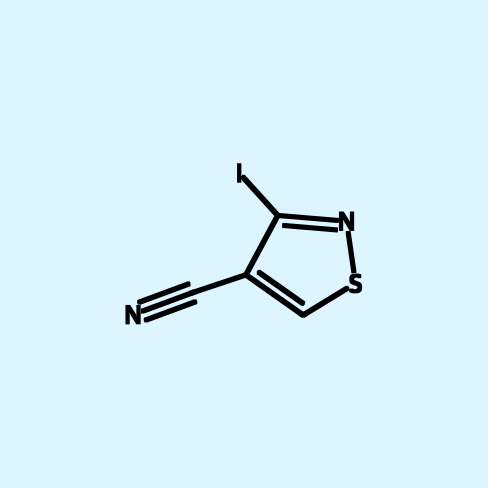 N#Cc1csnc1I